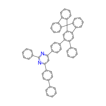 c1ccc(-c2ccc(-c3cc(-c4ccc(-c5cc6c(cc5-c5ccccc5)-c5ccccc5C65c6ccccc6-c6ccccc65)cc4)nc(-c4ccccc4)n3)cc2)cc1